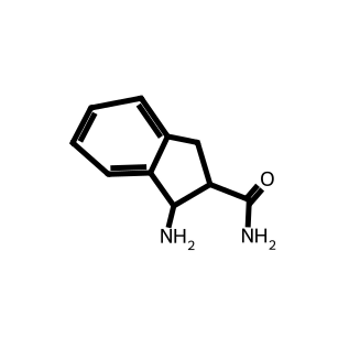 NC(=O)C1Cc2ccccc2C1N